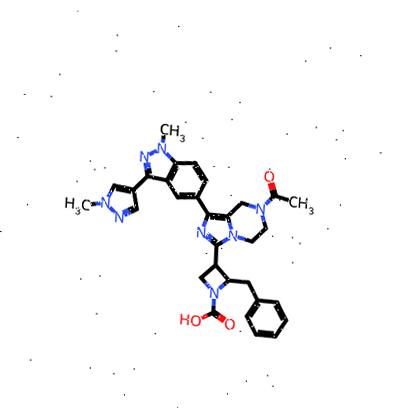 CC(=O)N1CCn2c(C3CN(C(=O)O)C3Cc3ccccc3)nc(-c3ccc4c(c3)c(-c3cnn(C)c3)nn4C)c2C1